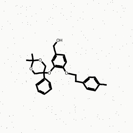 Cc1ccc(CCOc2ccc(CO)cc2OC2(c3ccccc3)COC(C)(C)OC2)cc1